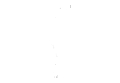 CCCCCCCCCCCCCCC#CC#CCCCCCCCCCC(=O)O